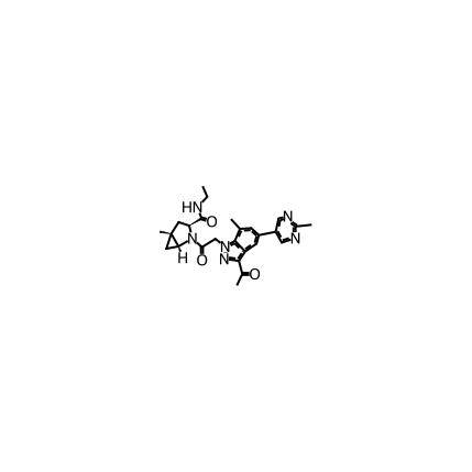 CCNC(=O)[C@@H]1C[C@@]2(C)C[C@H]2N1C(=O)Cn1nc(C(C)=O)c2cc(-c3cnc(C)nc3)cc(C)c21